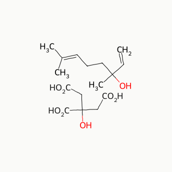 C=CC(C)(O)CCC=C(C)C.O=C(O)CC(O)(CC(=O)O)C(=O)O